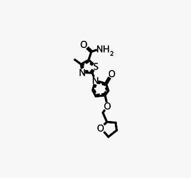 Cc1nc(-n2ccc(OCC3CCCO3)cc2=O)sc1C(N)=O